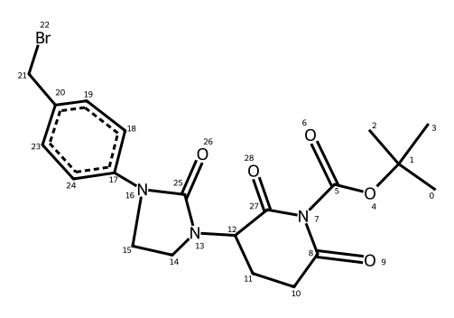 CC(C)(C)OC(=O)N1C(=O)CCC(N2CCN(c3ccc(CBr)cc3)C2=O)C1=O